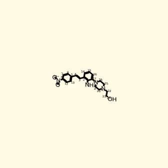 Nc1c(C=Cc2ccc([N+](=O)[O-])cc2)cccc1N1CCN(CCO)CC1